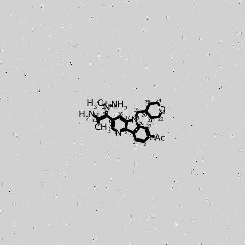 CC(=O)c1ccc2c3ncc(/C(=C(\C)N)N(C)N)cc3n(CC3CCOCC3)c2c1